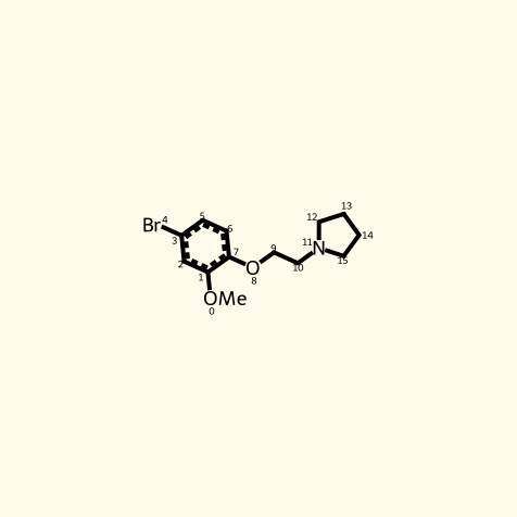 COc1cc(Br)ccc1OCCN1CCCC1